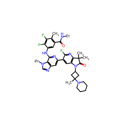 CCNC(=O)c1cc(Nc2nc(-c3cc4c(nc3F)C(C)(C)C(=O)N4C3CC(C)(N4CCCCC4)C3)cc3ncn(C(C)C)c23)c(F)c(F)c1C